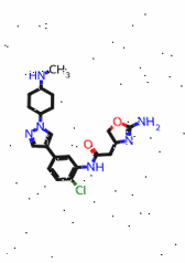 CNC1CCC(n2cc(-c3ccc(Cl)c(NC(=O)CC4COC(N)=N4)c3)cn2)CC1